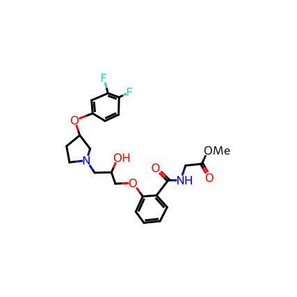 COC(=O)CNC(=O)c1ccccc1OCC(O)CN1CCC(Oc2ccc(F)c(F)c2)C1